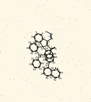 C=C(C1=C(/C=C\C)c2ccccc2C12c1ccccc1N(c1ccccc1)c1ccccc12)c1ccc(-c2cccc3cccnc23)cc1